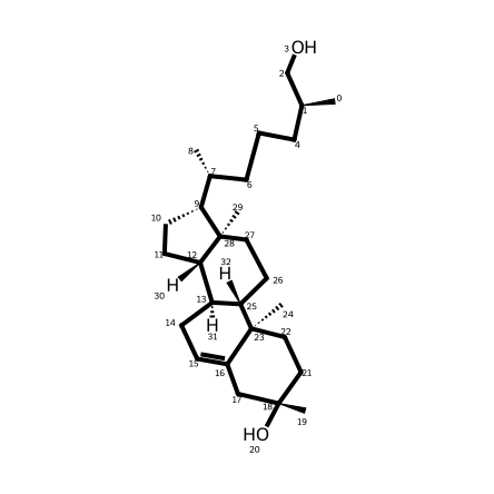 C[C@H](CO)CCC[C@@H](C)[C@H]1CC[C@H]2[C@@H]3CC=C4C[C@@](C)(O)CC[C@]4(C)[C@H]3CC[C@]12C